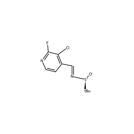 CC(C)(C)[S@+]([O-])/N=C/c1ccnc(F)c1Cl